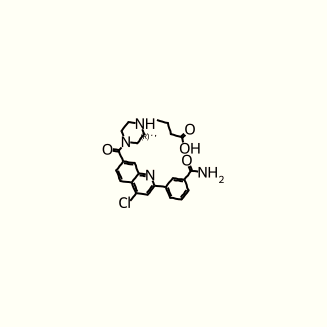 CCCC(=O)O.C[C@@H]1CN(C(=O)c2ccc3c(Cl)cc(-c4cccc(C(N)=O)c4)nc3c2)CCN1